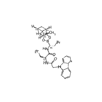 CC(C)C[C@H](NC(=O)[C@H](CC(C)C)NC(=O)Cn1c2ccccc2c2ncccc21)B1O[C@@H]2C[C@@H]3C[C@@H](C3(C)C)[C@]2(C)O1